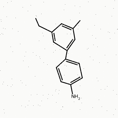 CCc1cc(C)cc(-c2ccc(N)cc2)c1